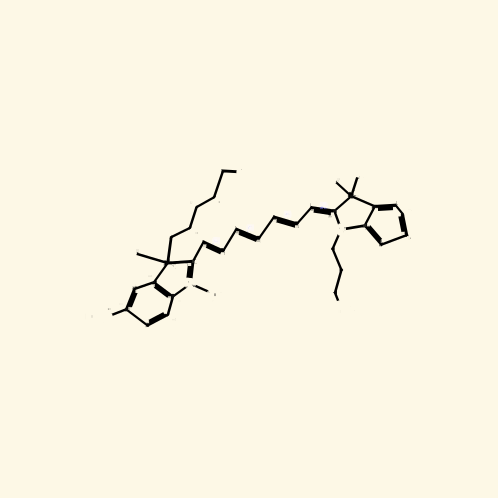 CCC[N+]1=C(/C=C/C=C/C=C/C=C2\N(CCCS(=O)(=O)O)c3ccccc3C2(C)C)C(C)(CCCCCC(C)=O)c2cc(S(=O)(=O)O)ccc21